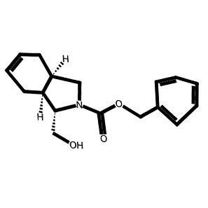 O=C(OCc1ccccc1)N1C[C@@H]2CC=CC[C@@H]2[C@H]1CO